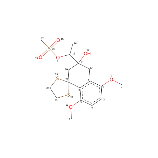 COc1ccc(OC)c2c1CC(O)(C(C)OS(C)(=O)=O)CC21SCCS1